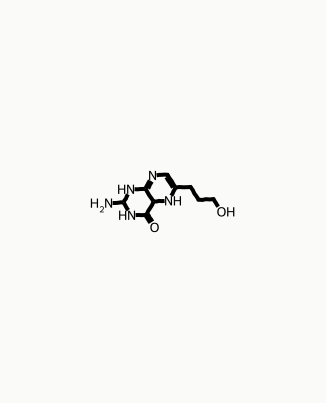 NC1NC(=O)C2NC(CCCO)=CN=C2N1